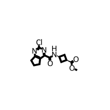 COC(=O)[C@H]1C[C@H](NC(=O)c2nc(Cl)nc3c2CCC3)C1